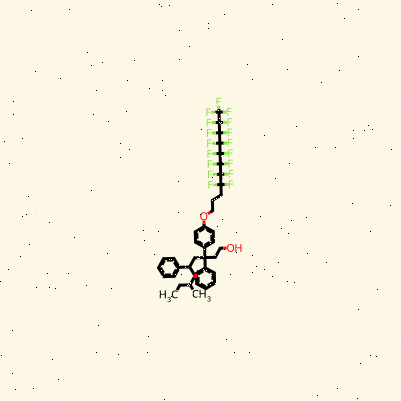 CCC(C)CC(CC(CCO)(c1ccccc1)c1ccc(OCCCC(F)(F)C(F)(F)C(F)(F)C(F)(F)C(F)(F)C(F)(F)C(F)(F)C(F)(F)F)cc1)c1ccccc1